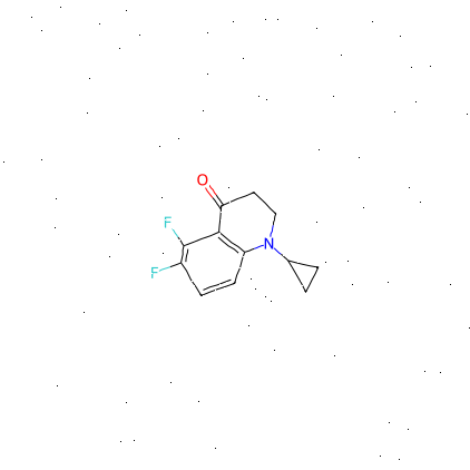 O=C1CCN(C2CC2)c2ccc(F)c(F)c21